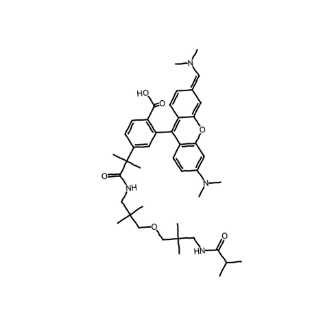 CC(C)C(=O)NCC(C)(C)COCC(C)(C)CNC(=O)C(C)(C)c1ccc(C(=O)O)c(C2=c3ccc(=CN(C)C)cc3Oc3cc(N(C)C)ccc32)c1